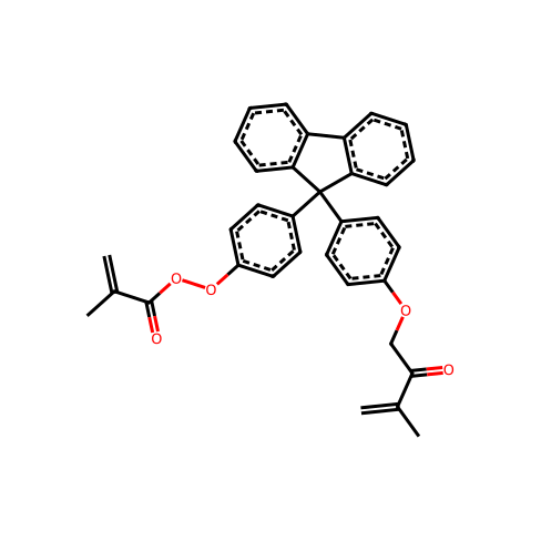 C=C(C)C(=O)COc1ccc(C2(c3ccc(OOC(=O)C(=C)C)cc3)c3ccccc3-c3ccccc32)cc1